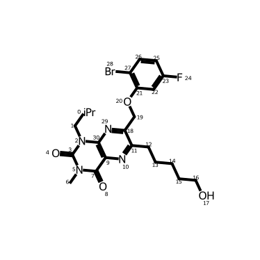 CC(C)Cn1c(=O)n(C)c(=O)c2nc(CCCCCO)c(COc3cc(F)ccc3Br)nc21